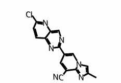 Cc1cn2cc(-c3ncc4nc(Cl)ccc4n3)cc(C#N)c2n1